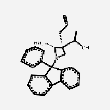 C=CC[C@]1(C(C)O)CN(C2(c3ccccc3)c3ccccc3-c3ccccc32)[C@@H]1C(=O)O